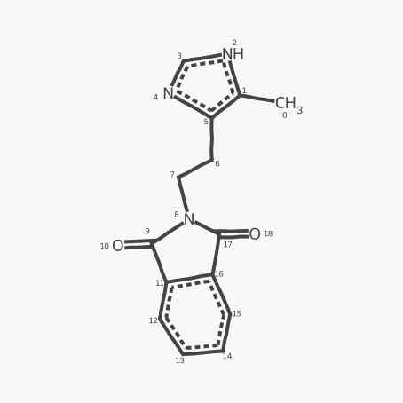 Cc1[nH]cnc1CCN1C(=O)c2ccccc2C1=O